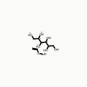 C=COCCC.OCC(O)C(O)C(O)C(O)CO